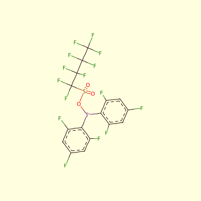 O=S(=O)(O[I+](c1c(F)cc(F)cc1F)c1c(F)cc(F)cc1F)C(F)(F)C(F)(F)C(F)(F)C(F)(F)F